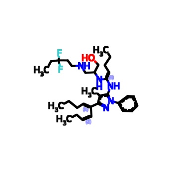 CC/C=C\C(=C/CCC)c1nn(-c2ccccc2)c(N/C(=C/CCC)NC(CO)CNCCC(F)(F)CC)c1C